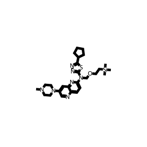 CN1CCN(c2cnc3ccc(N(COCC[Si](C)(C)C)c4nnc(C5CCCC5)s4)nc3c2)CC1